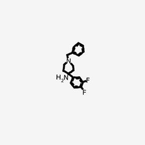 NC1(c2ccc(F)c(F)c2)CCN(Cc2ccccc2)CC1